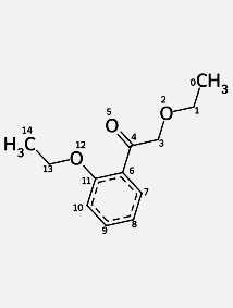 CCOCC(=O)c1ccccc1OCC